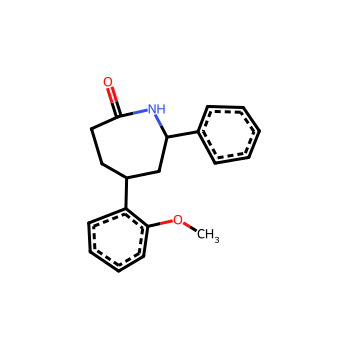 COc1ccccc1C1CCC(=O)NC(c2ccccc2)C1